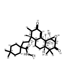 CCNC(=O)C1(CC[C@]2(C)C(C)C(=O)C=C3[C@@]4(C)[C@H]5O[C@@]5(C#N)C(=O)C(C)(C)[C@@H]4CC[C@]32C)CCC(C)(C)CC1